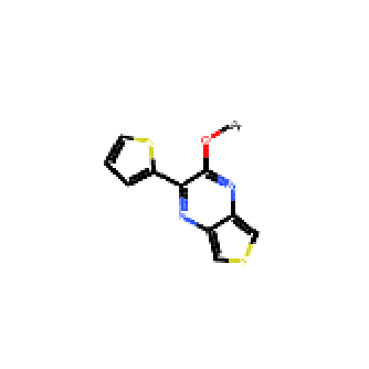 CC(C)Oc1nc2cscc2nc1-c1cccs1